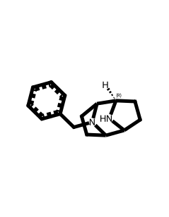 c1ccc(CN2C3CCC2[C@H]2CCC3N2)cc1